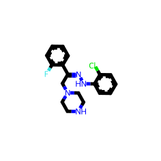 Fc1ccccc1C(CN1CCNCC1)=NNc1ccccc1Cl